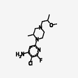 COC(C)CN1CCN(c2cc(N)c(Cl)c(F)n2)C(C)C1